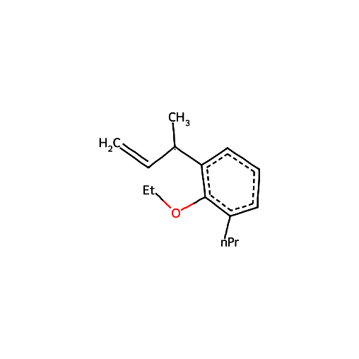 C=C[C](C)c1cccc(CCC)c1OCC